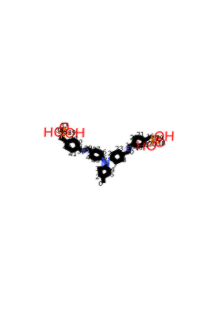 Cc1ccc(N(c2ccc(/C=C/c3ccc(CP(=O)(O)O)cc3)cc2)c2ccc(/C=C/c3ccc(CP(=O)(O)O)cc3)cc2)cc1